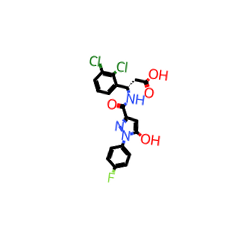 O=C(O)C[C@H](NC(=O)c1cc(O)n(-c2ccc(F)cc2)n1)c1cccc(Cl)c1Cl